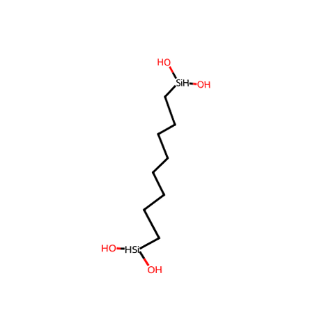 O[SiH](O)CCCCCCCC[SiH](O)O